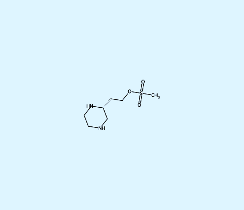 CS(=O)(=O)OCC[C@@H]1CNCCN1